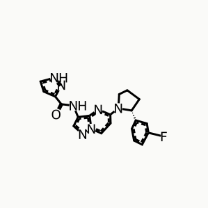 O=C(Nc1cnn2ccc(N3CCC[C@@H]3c3cccc(F)c3)nc12)c1cc[nH]n1